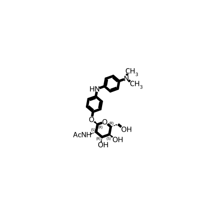 CC(=O)N[C@@H]1[C@@H](Oc2ccc(Nc3ccc(N(C)C)cc3)cc2)O[C@H](CO)[C@@H](O)[C@@H]1O